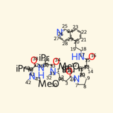 CC[C@H](C)C([C@@H](CC(=O)N1CCC[C@H]1[C@H](OC)[C@@H](C)C(=O)NCCc1cccc2cnccc12)OC)N(C)C(=O)[C@@H](NC(=O)[C@H](C(C)C)N(C)C)C(C)C